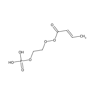 CC=CC(=O)OOCCOP(=O)(O)O